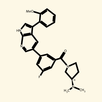 COc1ccccc1-c1c[nH]c2ncc(-c3cc(F)cc(C(=O)N4CC[C@@H](N(C)C)C4)c3)cc12